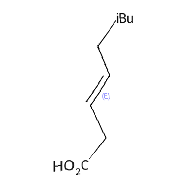 CCC(C)C/C=C/CC(=O)O